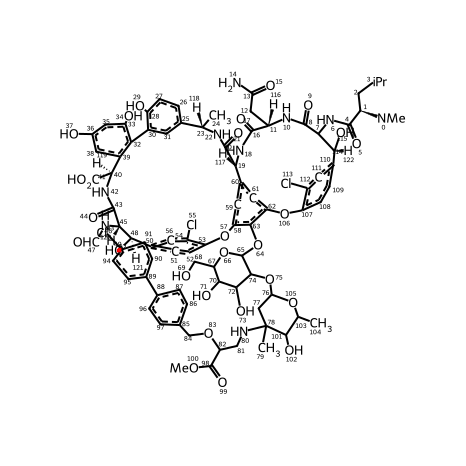 CN[C@H](CC(C)C)C(=O)NC1C(=O)N[C@@H](CC(N)=O)C(=O)N[C@H]2C(=O)N[C@@H](C)c3ccc(O)c(c3)-c3c(O)cc(O)cc3[C@H](C(=O)O)NC(=O)[C@@H](NC=O)[C@H](O)c3ccc(c(Cl)c3)Oc3cc2cc(c3OC2OC(CO)C(O)C(O)C2OC2CC(C)(NCC(OCc3ccc(-c4ccc(Cl)cc4)cc3)C(=O)OC)C(O)C(C)O2)Oc2ccc(cc2Cl)[C@H]1O